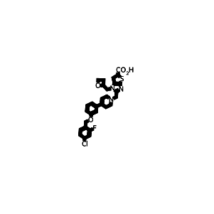 O=C(O)C1Cc2c(nc(CN3CC=C(c4cccc(OCC5=CCC(Cl)C=C5F)c4)CC3)n2CC2CCO2)S1